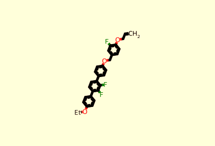 C=CCOc1ccc(COc2ccc(-c3ccc(-c4ccc(OCC)cc4)c(F)c3F)cc2)cc1F